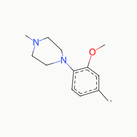 [CH2]c1ccc(N2CCN(C)CC2)c(OC)c1